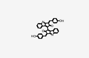 O=C1C(=Cc2ccc(O)cc2)C2=Nc3ccccc3C2=C1C1=C2C(=Nc3ccccc32)C(=Cc2ccc(O)cc2)C1=O